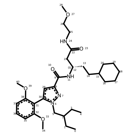 CCC(CC)Cn1nc(C(=O)N[C@@H](CCC2CCCCC2)CC(=O)NCCOC)cc1-c1c(OC)cccc1OC